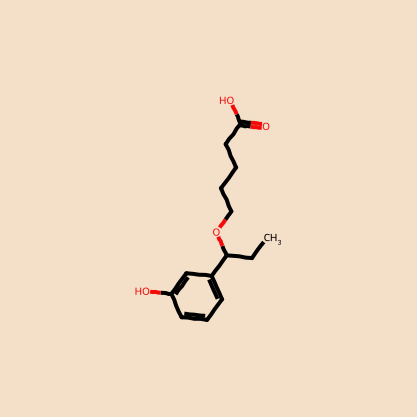 CCC(OCCCCC(=O)O)c1cccc(O)c1